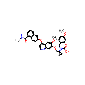 CNC(=O)c1cccc2cc(Oc3ccnc4cc(OCC5(N(Cc6ccc(OC)cc6)C(=O)O)CC5)c(OC)cc34)ccc12